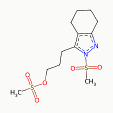 CS(=O)(=O)OCCCc1c2c(nn1S(C)(=O)=O)CCCC2